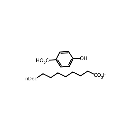 CCCCCCCCCCCCCCCCCC(=O)O.O=C(O)c1ccc(O)cc1